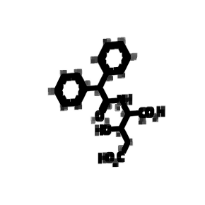 O=C(O)CC(O)C(NC(=O)C(c1ccccc1)c1ccccc1)C(=O)O